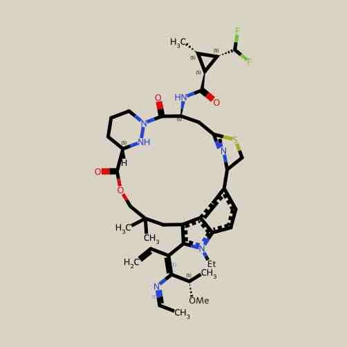 C=C/C(=C(\N=C/C)[C@H](C)OC)c1c2c3cc(ccc3n1CC)C1CSC(=N1)C[C@H](NC(=O)[C@H]1[C@H](C)[C@@H]1C(F)F)C(=O)N1CCC[C@H](N1)C(=O)OCC(C)(C)C2